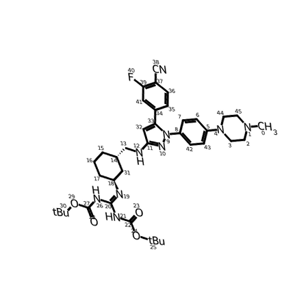 CN1CCN(c2ccc(-n3nc(NC[C@H]4CCC[C@H](N=C(NC(=O)OC(C)(C)C)NC(=O)OC(C)(C)C)C4)cc3-c3ccc(C#N)c(F)c3)cc2)CC1